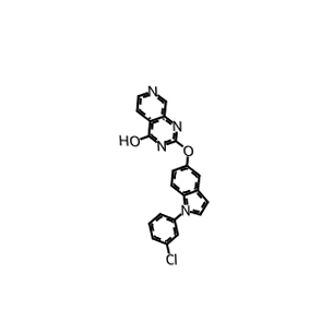 Oc1nc(Oc2ccc3c(ccn3-c3cccc(Cl)c3)c2)nc2cnccc12